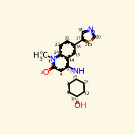 Cn1c(=O)cc(N[C@H]2CC[C@@H](O)CC2)c2cc(-c3cncs3)ccc21